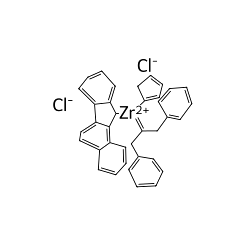 C1=CC[C]([Zr+2](=[C](Cc2ccccc2)Cc2ccccc2)[CH]2c3ccccc3-c3ccc4ccccc4c32)=C1.[Cl-].[Cl-]